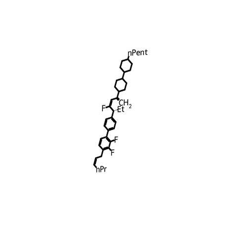 C=C(/C=C(/F)[C@H](CC)c1ccc(-c2ccc(C/C=C\CCC)c(F)c2F)cc1)C1CCC(C2CCC(CCCCC)CC2)CC1